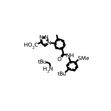 CC(C)(C)CN.CSc1ccc(C(C)(C)C)cc1NC(=O)c1ccc(C)c(-n2cc(C(=O)O)nn2)c1